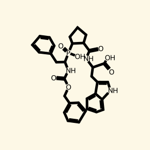 O=C(NC(Cc1ccccc1)P(=O)(O)C1CCCC1C(=O)NC(Cc1c[nH]c2ccccc12)C(=O)O)OCc1ccccc1